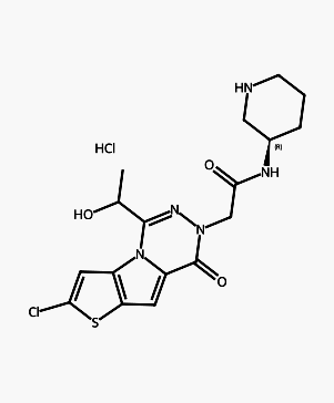 CC(O)c1nn(CC(=O)N[C@@H]2CCCNC2)c(=O)c2cc3sc(Cl)cc3n12.Cl